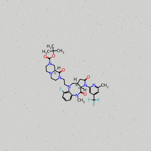 Cc1cc(C(F)(F)F)cc(N2C(=O)C[C@@H]3CN(CCN4CCN5CCN(C(=O)OC(C)(C)C)C[C@H]5C4=O)c4c(F)cccc4N(C)C(=O)[C@H]32)n1